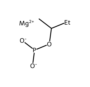 CCC(C)OP([O-])[O-].[Mg+2]